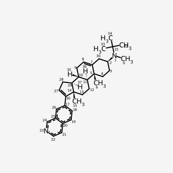 CN([C@H]1CC[C@@]2(C)C(=CC[C@@H]3[C@@H]2CC[C@]2(C)C(c4ccc5ccncc5c4)=CC[C@@H]32)C1)C(C)(C)C